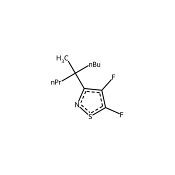 CCCCC(C)(CCC)c1nsc(F)c1F